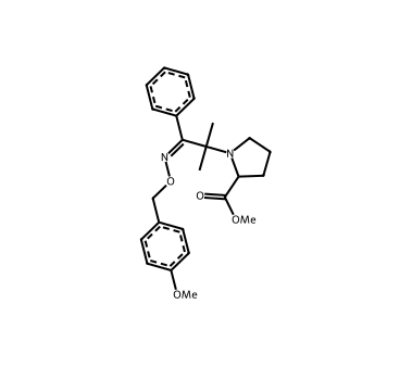 COC(=O)C1CCCN1C(C)(C)C(=NOCc1ccc(OC)cc1)c1ccccc1